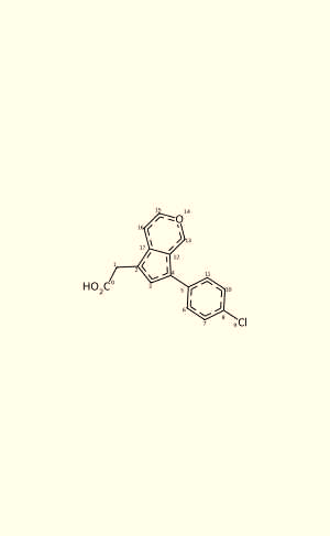 O=C(O)Cc1cc(-c2ccc(Cl)cc2)c2coccc1-2